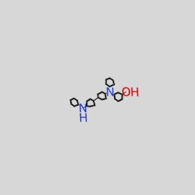 Oc1cccc(N(c2ccccc2)c2ccc(-c3ccc(Nc4ccccc4)cc3)cc2)c1